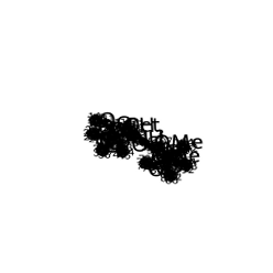 CCCCCCCCOc1c(O[C@H]2O[C@H](COC(=O)c3ccccc3)[C@@H](OC(=O)c3ccccc3)[C@H](OC(=O)c3ccccc3)[C@@H]2OC(=O)c2ccccc2)c2ccc(NC(=O)C=Cc3cc(OC)c(O[C@H]4O[C@H](COC(=O)c5ccccc5)[C@@H](OC(=O)c5ccccc5)[C@H](OC(=O)c5ccccc5)[C@@H]4OC(=O)c4ccccc4)c(OC)c3)cc2n(C)c1=O